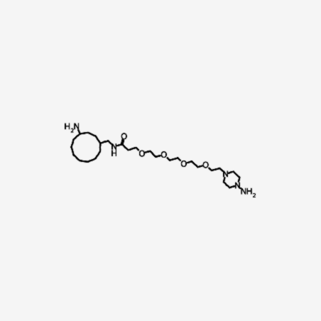 NC1CCCCCCCC(CNC(=O)CCOCCOCCOCCOCCN2CCN(N)CC2)CC1